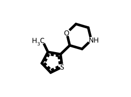 Cc1ccsc1C1CNCCO1